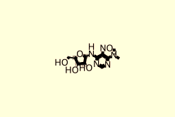 CN(C)c1ncnc(N[C@@H]2O[C@H](CO)[C@@H](O)[C@H]2O)c1[N+](=O)[O-]